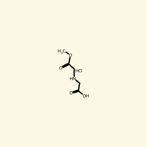 COC(=O)CNCC(=O)O.Cl